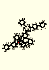 c1ccc(-c2ccc(-c3nc(-c4ccccc4)nc(-c4cc(-c5cccc6oc7ccc(-n8c9ccccc9c9cc(-c%10ccccc%10)ccc98)cc7c56)c5c(c4)oc4ccccc45)n3)cc2)cc1